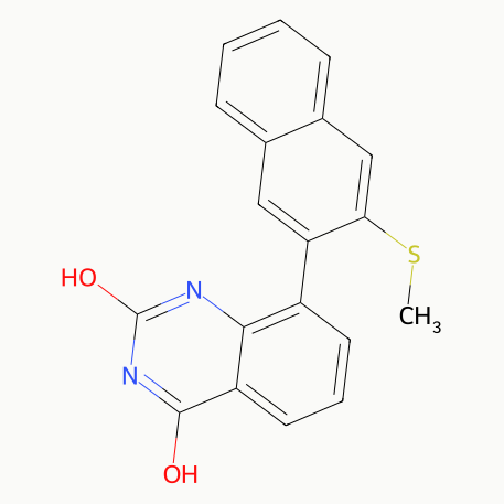 CSc1cc2ccccc2cc1-c1cccc2c(O)nc(O)nc12